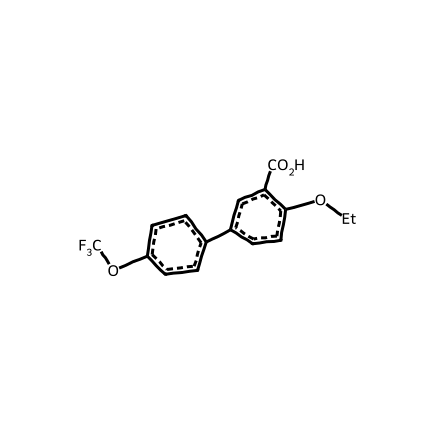 CCOc1ccc(-c2ccc(OC(F)(F)F)cc2)cc1C(=O)O